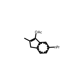 CCCc1ccc2c(c1)C(OC(C)=O)=C(C)C2